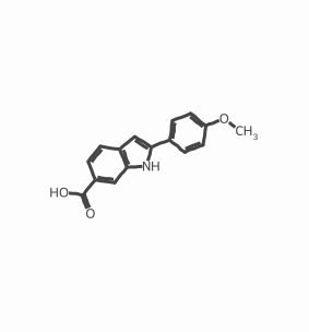 COc1ccc(-c2cc3ccc(C(=O)O)cc3[nH]2)cc1